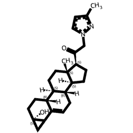 Cc1ccn(CC(=O)[C@H]2CC[C@H]3[C@@H]4CC=C5C6C[C@@]6(O)CC[C@@H]5[C@H]4CC[C@]23C)n1